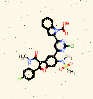 CNC(=O)c1c(-c2ccc(F)cc2)oc2cc(N(C)S(C)(=O)=O)c(-c3cc(-c4cc5ccccc5n4C(=O)O)nc(Cl)n3)cc12